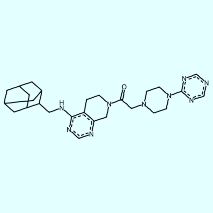 O=C(CN1CCN(c2ncncn2)CC1)N1CCc2c(ncnc2NCC2C3CC4CC(C3)CC2C4)C1